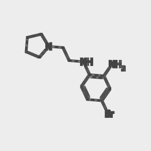 Nc1cc(Br)ccc1NCCN1CCCC1